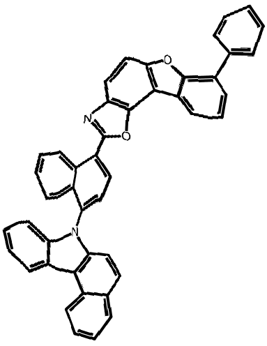 c1ccc(-c2cccc3c2oc2ccc4nc(-c5ccc(-n6c7ccccc7c7c8ccccc8ccc76)c6ccccc56)oc4c23)cc1